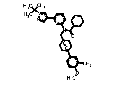 COc1ccc(C23CCC(CN(C(=O)C4CCCCC4)c4cccc(-c5cnn(C(C)(C)C)c5)n4)(CC2)CC3)cc1C